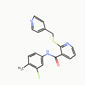 Cc1ccc(NC(=O)c2cccnc2SCc2ccncc2)cc1F